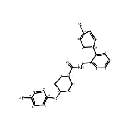 O=C(NCc1ccccc1-c1ccc(F)cc1)N1CCC(Oc2ccc(F)cc2)CC1